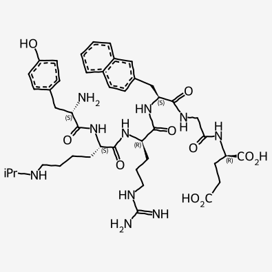 CC(C)NCCCC[C@H](NC(=O)[C@@H](N)Cc1ccc(O)cc1)C(=O)N[C@H](CCCNC(=N)N)C(=O)N[C@@H](Cc1ccc2ccccc2c1)C(=O)NCC(=O)N[C@H](CCC(=O)O)C(=O)O